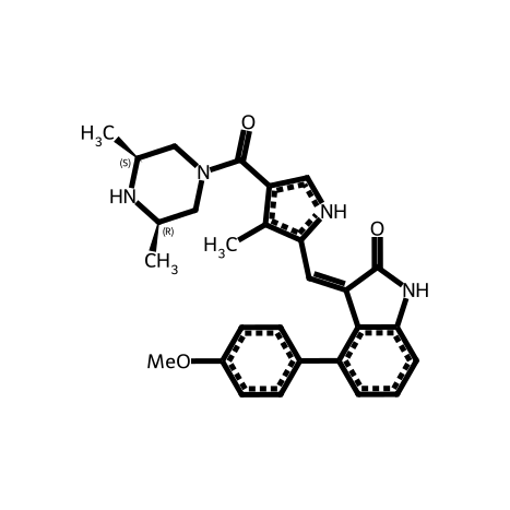 COc1ccc(-c2cccc3c2C(=Cc2[nH]cc(C(=O)N4C[C@@H](C)N[C@@H](C)C4)c2C)C(=O)N3)cc1